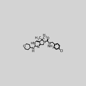 CC1(C)C2=CNC(NC3CCOCC3)N=C2CN1C(=O)N(N)Cc1ccc(Cl)cc1